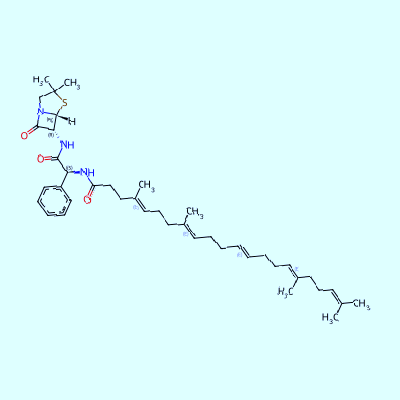 CC(C)=CCC/C(C)=C/CC/C=C/CC/C=C(\C)CC/C=C(\C)CCC(=O)N[C@H](C(=O)N[C@@H]1C(=O)N2CC(C)(C)S[C@H]12)c1ccccc1